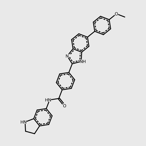 COc1ccc(-c2ccc3nc(-c4ccc(C(=O)Nc5ccc6c(c5)NCC6)cc4)[nH]c3c2)cc1